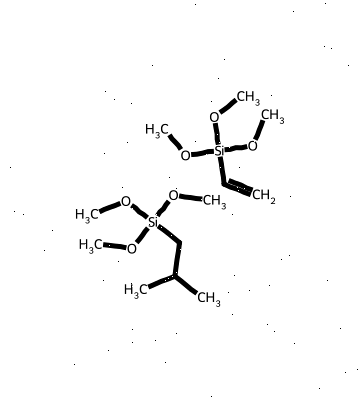 C=C[Si](OC)(OC)OC.CO[Si](CC(C)C)(OC)OC